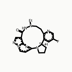 CCN1CCc2ncc(F)cc2[C@H]2CCCN2c2ccn3ncc(c3n2)C(=O)N1